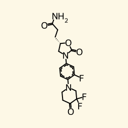 NC(=O)CC[C@H]1CN(c2ccc(N3CCC(=O)C(F)(F)C3)c(F)c2)C(=O)O1